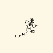 Cc1cccc(S(=O)(=O)N(S)c2cccc3cc(C4=NCC(CCNCCO)S4)[nH]c23)c1.Cl